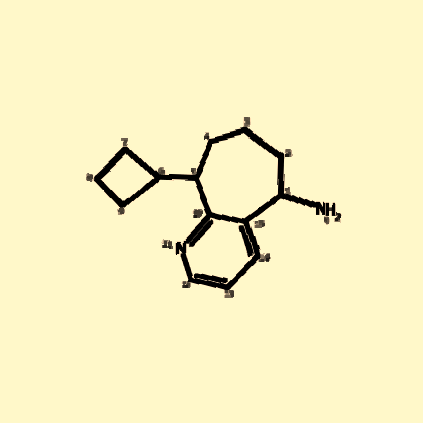 NC1CCCC(C2CCC2)c2ncccc21